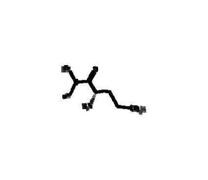 CCCN(CCC)C(=O)[C@@H](N)CCC(=O)O